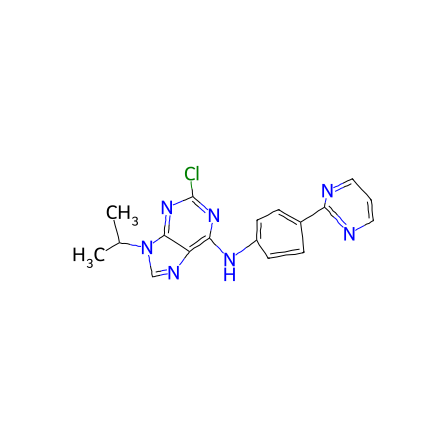 CC(C)n1cnc2c(Nc3ccc(-c4ncccn4)cc3)nc(Cl)nc21